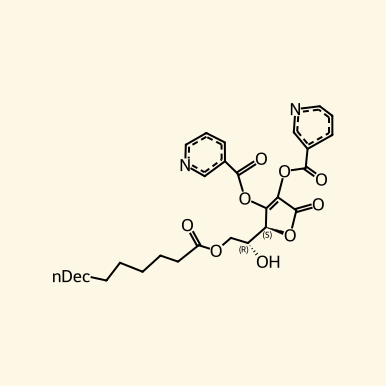 CCCCCCCCCCCCCCCC(=O)OC[C@@H](O)[C@@H]1OC(=O)C(OC(=O)c2cccnc2)=C1OC(=O)c1cccnc1